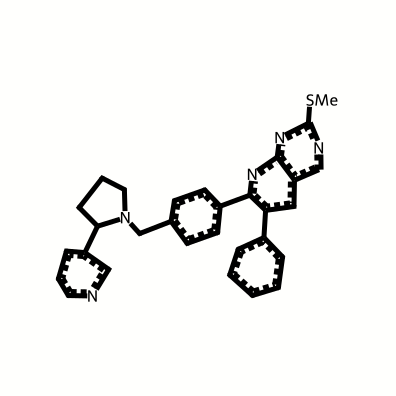 CSc1ncc2cc(-c3ccccc3)c(-c3ccc(CN4CCCC4c4cccnc4)cc3)nc2n1